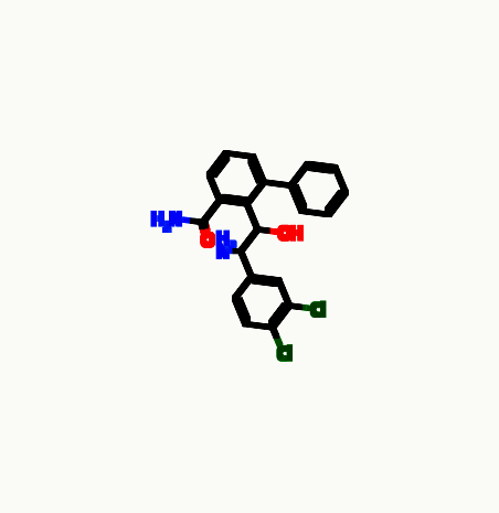 NC(=O)c1cccc(-c2ccccc2)c1C(O)C(N)c1ccc(Cl)c(Cl)c1